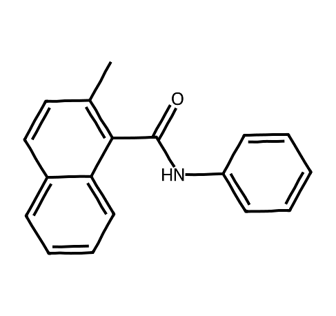 Cc1ccc2ccccc2c1C(=O)Nc1ccccc1